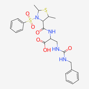 CC1SC(C)N(S(=O)(=O)c2ccccc2)C1C(=O)NC(CNC(=O)NCc1ccccc1)C(=O)O